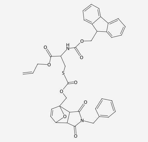 C=CCOC(=O)C(CSC(=O)OCC12C=CC(O1)C1C(=O)N(Cc3ccccc3)C(=O)C12)NC(=O)OCC1c2ccccc2-c2ccccc21